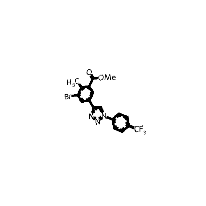 COC(=O)c1cc(-c2cn(-c3ccc(C(F)(F)F)cc3)nn2)cc(Br)c1C